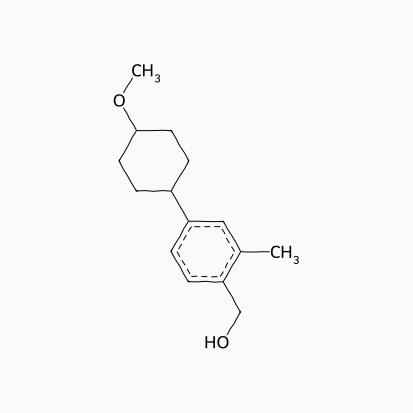 COC1CCC(c2ccc(CO)c(C)c2)CC1